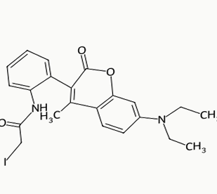 CCN(CC)c1ccc2c(C)c(-c3ccccc3NC(=O)CI)c(=O)oc2c1